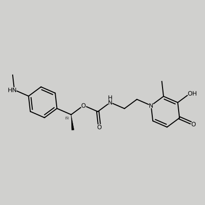 CNc1ccc([C@H](C)OC(=O)NCCn2ccc(=O)c(O)c2C)cc1